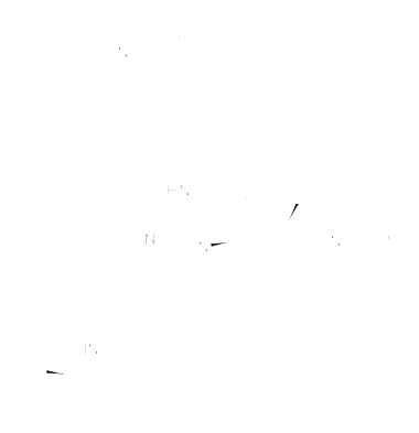 C=CC(=O)N1CC[C@]2(C1)C[C@H](n1c(NC(=O)c3cccc(-c4cnco4)c3)nc3cc(CN[C@@H](C)C(C)(C)C)ccc31)C2